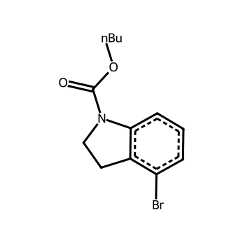 CCCCOC(=O)N1CCc2c(Br)cccc21